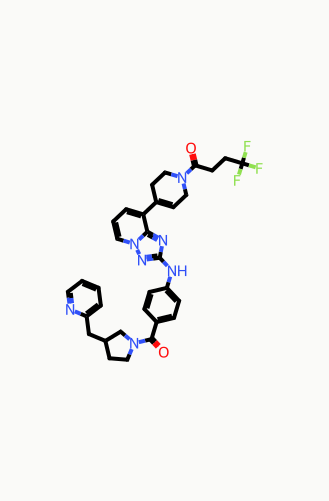 O=C(CCC(F)(F)F)N1CC=C(c2cccn3nc(Nc4ccc(C(=O)N5CCC(Cc6ccccn6)C5)cc4)nc23)CC1